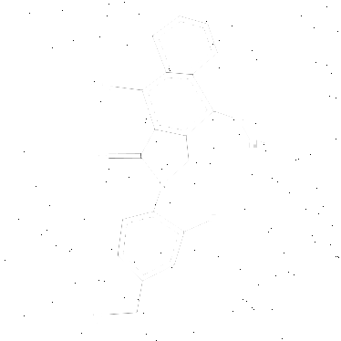 CCCCc1c2c(c(OCCC)c3ccccc13)CN(c1ccc(CC(=O)OCC)cc1F)C2=O